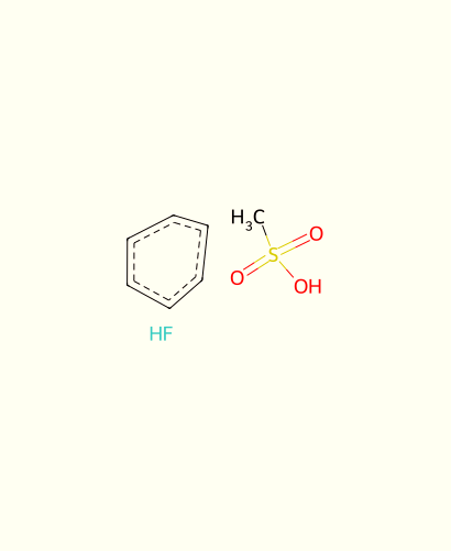 CS(=O)(=O)O.F.c1ccccc1